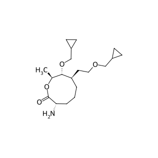 C[C@@H]1OC(=O)[C@@H](N)CCC[C@H](CCOCC2CC2)[C@H]1OCC1CC1